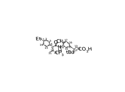 CCc1ccc([C@@H](C(=O)Nc2cc(C(CC(=O)O)C(C)(C)C)ccc2Cl)[C@@H](C)C(F)(F)F)cc1